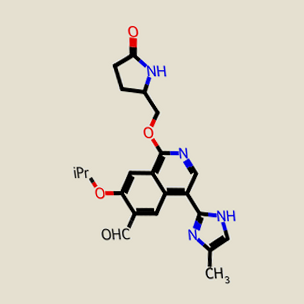 Cc1c[nH]c(-c2cnc(OCC3CCC(=O)N3)c3cc(OC(C)C)c(C=O)cc23)n1